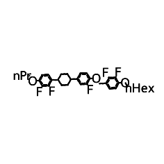 CCCCCCOc1ccc(COc2ccc(C3CCC(c4ccc(OCCC)c(F)c4F)CC3)cc2F)c(F)c1F